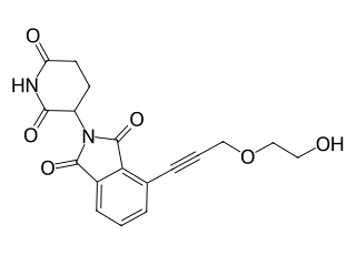 O=C1CCC(N2C(=O)c3cccc(C#CCOCCO)c3C2=O)C(=O)N1